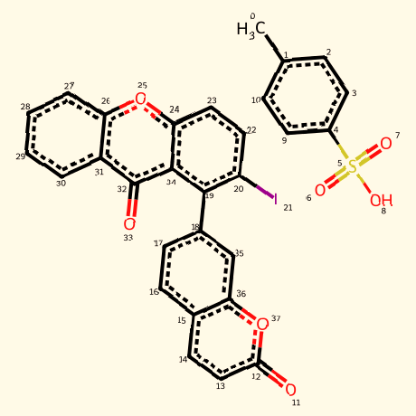 Cc1ccc(S(=O)(=O)O)cc1.O=c1ccc2ccc(-c3c(I)ccc4oc5ccccc5c(=O)c34)cc2o1